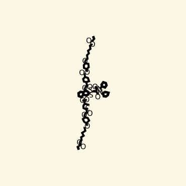 C=CC(=O)OCCCCCCOC1CCC(OC(=O)C2CCC(C(=O)Oc3c4c(c(OC(=O)C5CCC(C(=O)OC6CCC(OCCCCCCOC(=O)C=C)CC6)CC5)c5ccccc35)SC(=C3C(=O)N(c5ccccc5)N(c5ccccc5)C3=O)S4)CC2)CC1